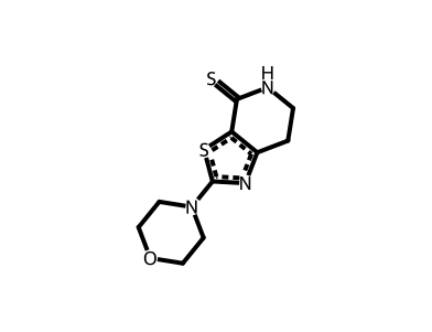 S=C1NCCc2nc(N3CCOCC3)sc21